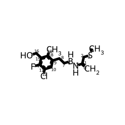 C=C(CSC)NBCCc1cc(Cl)c(F)c(CO)c1C